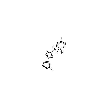 Cc1cccc(-c2cnc(C(=O)N[C@H]3CN4CCC3CC4C)o2)c1